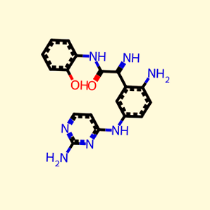 N=C(C(=O)Nc1ccccc1O)c1cc(Nc2ccnc(N)n2)ccc1N